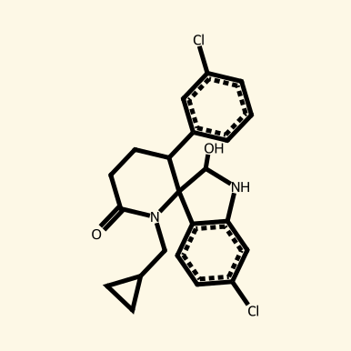 O=C1CCC(c2cccc(Cl)c2)C2(c3ccc(Cl)cc3NC2O)N1CC1CC1